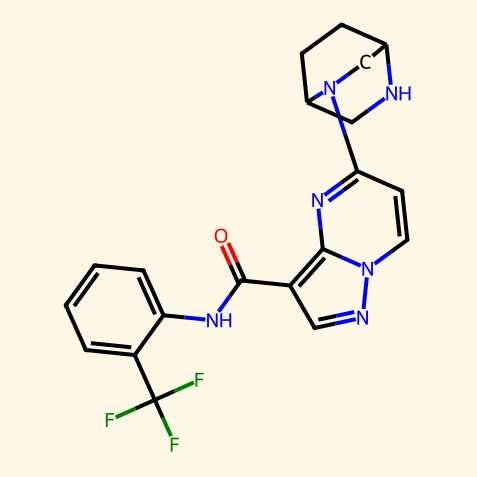 O=C(Nc1ccccc1C(F)(F)F)c1cnn2ccc(N3CC4CCC3CN4)nc12